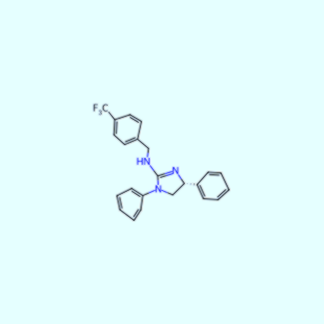 FC(F)(F)c1ccc(CNC2=N[C@H](c3ccccc3)CN2c2ccccc2)cc1